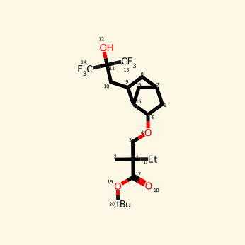 CCC(C)(COC1CC2CC(CC(O)(C(F)(F)F)C(F)(F)F)C1C2)C(=O)OC(C)(C)C